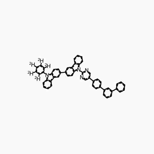 [2H]c1c([2H])c([2H])c(-n2c3ccccc3c3cc(-c4ccc5c(c4)c4ccccc4n5-c4ncc(-c5ccc(-c6cccc(-c7ccccc7)c6)cc5)cn4)ccc32)c([2H])c1[2H]